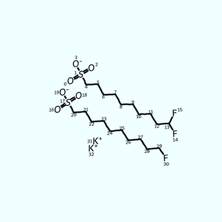 O=S(=O)([O-])CCCCCCCCCC(F)F.O=S(=O)([O-])CCCCCCCCCCF.[K+].[K+]